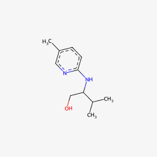 Cc1ccc(NC(CO)C(C)C)nc1